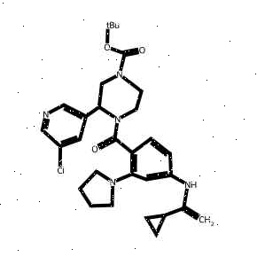 C=C(Nc1ccc(C(=O)N2CCN(C(=O)OC(C)(C)C)CC2c2cncc(Cl)c2)c(N2CCCC2)c1)C1CC1